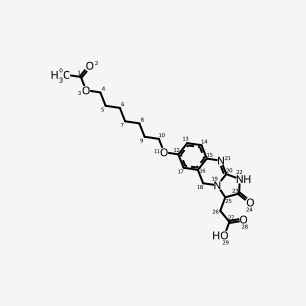 CC(=O)OCCCCCCCOc1ccc2c(c1)CN1C(=N2)NC(=O)C1CC(=O)O